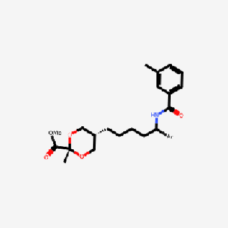 COC(=O)[C@]1(C)OC[C@H](CCCCC(NC(=O)c2cccc(C)c2)C(C)=O)CO1